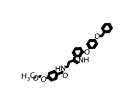 COCOc1ccc(C(=O)NCCc2c[nH]c3c(Oc4ccc(OCc5ccccc5)cc4)cccc23)cc1